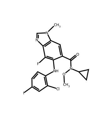 CON(C(=O)c1cc2c(ncn2C)c(F)c1Nc1ccc(I)cc1Cl)C1CC1